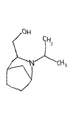 CC(C)N1C2CCC(C2)C1CO